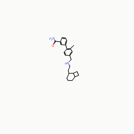 Cc1cc(CNCCC2CCCC3CCC23)ccc1-c1cccc(C(N)=O)c1